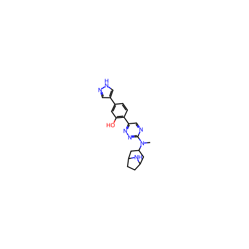 CN(c1ncc(-c2ccc(-c3cn[nH]c3)cc2O)nn1)C1CC2CCC(C1)N2